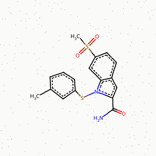 Cc1cccc(Sn2c(C(N)=O)cc3ccc(S(C)(=O)=O)cc32)c1